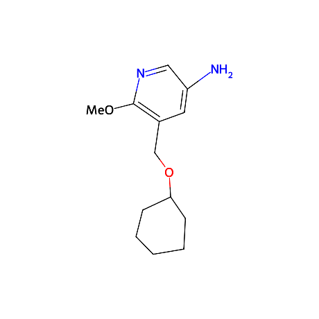 COc1ncc(N)cc1COC1CCCCC1